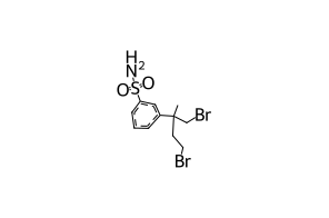 CC(CBr)(CCBr)c1cccc(S(N)(=O)=O)c1